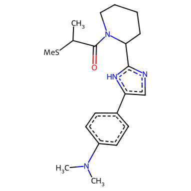 CSC(C)C(=O)N1CCCCC1c1ncc(-c2ccc(N(C)C)cc2)[nH]1